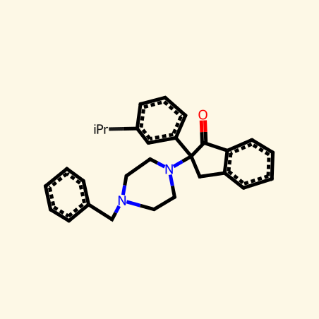 CC(C)c1cccc(C2(N3CCN(Cc4ccccc4)CC3)Cc3ccccc3C2=O)c1